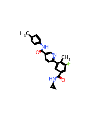 Cc1ccc(NC(=O)c2ccc(-c3cc(C(=O)NC4CC4)cc(F)c3C)nc2)cc1